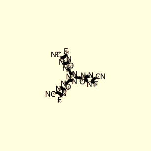 N#Cc1nc2nc(-c3nc(-c4nc5nc(C#N)c(F)nc5o4)nc(-c4nc5nc(C#N)c(F)nc5o4)n3)oc2nc1F